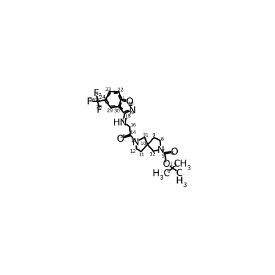 CC(C)(C)OC(=O)N1CCC2(CCN(C(=O)CNc3noc4ccc(C(F)(F)F)cc34)C2)C1